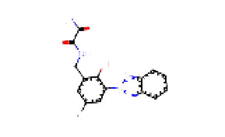 Cc1cc(CNC(=O)C(N)=O)c(O)c(-n2nc3ccccc3n2)c1